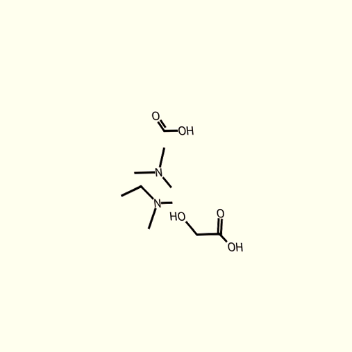 CCN(C)C.CN(C)C.O=C(O)CO.O=CO